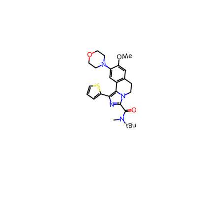 COc1cc2c(cc1N1CCOCC1)-c1c(-c3cccs3)nc(C(=O)N(C)C(C)(C)C)n1CC2